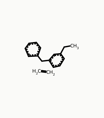 C=C.CCc1cccc(Cc2ccccc2)c1